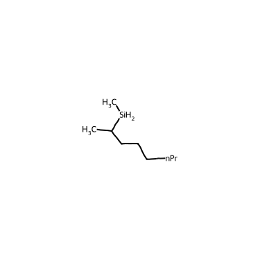 CCCCCCC(C)[SiH2]C